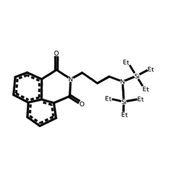 CC[Si](CC)(CC)N(CCCN1C(=O)c2cccc3cccc(c23)C1=O)[Si](CC)(CC)CC